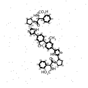 Cc1cc(-c2cnc(C3CCCN3C(=O)C(NC(=O)O)c3ccccc3)[nH]2)ccc1-c1ccc(-c2cnc([C@@H]3CCCN3C(=O)[C@H](NC(=O)O)c3ccccc3)[nH]2)cc1C